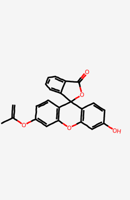 C=C(C)Oc1ccc2c(c1)Oc1cc(O)ccc1C21OC(=O)c2ccccc21